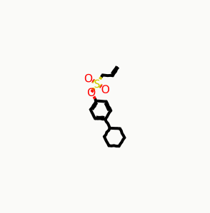 C=CCS(=O)(=O)Oc1ccc(C2CCCCC2)cc1